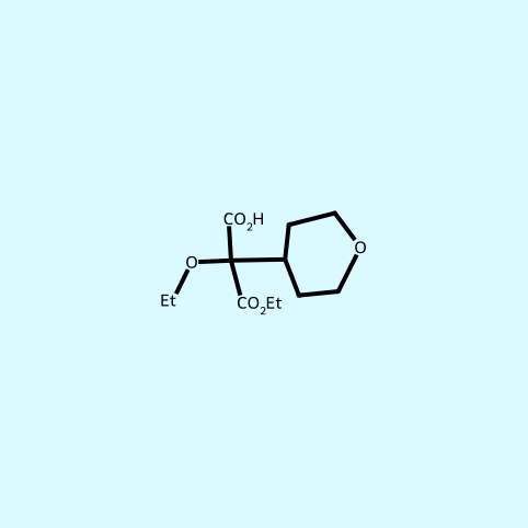 CCOC(=O)C(OCC)(C(=O)O)C1CCOCC1